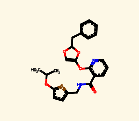 CC(Oc1ccc(CNC(=O)c2cccnc2OC2=COC(Cc3ccccc3)O2)s1)C(=O)O